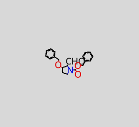 O=CC1C(OCc2ccccc2)CCN1C(=O)OCc1ccccc1